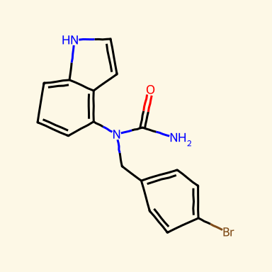 NC(=O)N(Cc1ccc(Br)cc1)c1cccc2[nH]ccc12